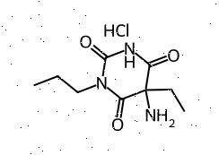 CCCN1C(=O)NC(=O)C(N)(CC)C1=O.Cl